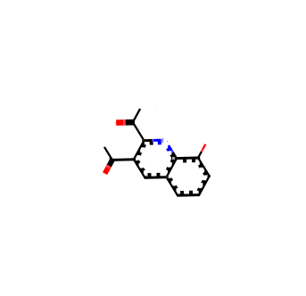 CC(=O)c1cc2cccc(O)c2nc1C(C)=O